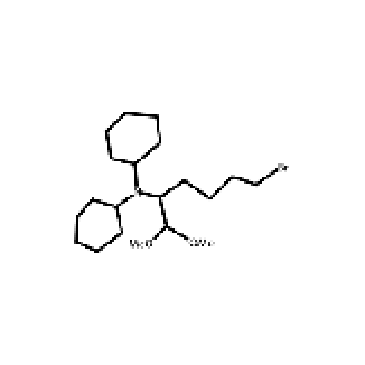 COC(OC)C(CCCCBr)N(C1CCCCC1)C1CCCCC1